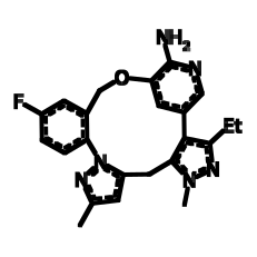 CCc1nn(C)c2c1-c1cnc(N)c(c1)OCc1cc(F)ccc1-n1nc(C)cc1C2